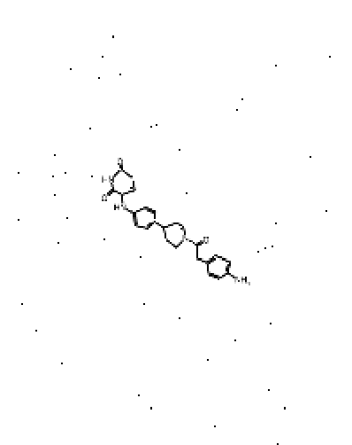 Nc1ccc(CC(=O)N2CCC(c3ccc(NC4CCC(=O)NC4=O)cc3)CC2)cc1